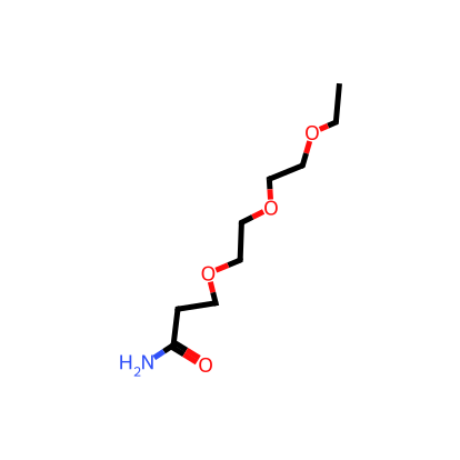 CCOCCOCCOCCC(N)=O